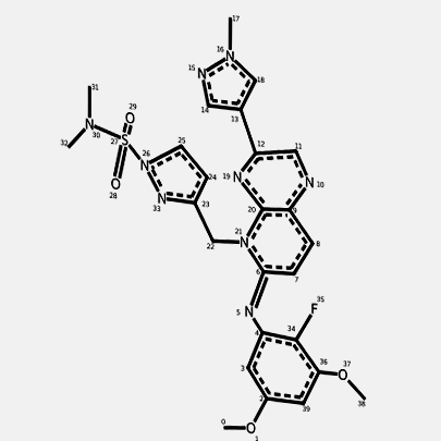 COc1cc(/N=c2\ccc3ncc(-c4cnn(C)c4)nc3n2Cc2ccn(S(=O)(=O)N(C)C)n2)c(F)c(OC)c1